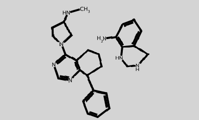 CNC1CCN(c2ncnc3c2CCCC3c2ccccc2)C1.Nc1cccc2c1NCNC2